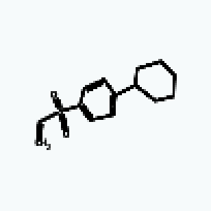 C=CS(=O)(=O)c1ccc(C2CCCCC2)cc1